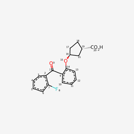 O=C(c1ccccc1F)c1ccccc1O[C@H]1CC[C@H](C(=O)O)C1